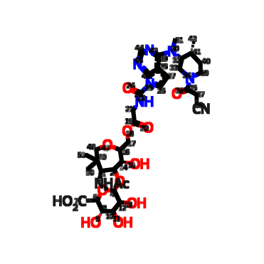 CC(=O)NC1C(O[C@@H]2OC(C(=O)O)[C@@H](O)C(O)C2O)[C@H](O)C(COC(=O)CNC(=O)n2ccc3c(N(C)[C@H]4CN(C(=O)CC#N)CC[C@H]4C)ncnc32)OCC1(C)C